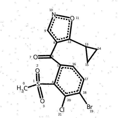 CS(=O)(=O)c1c(C(=O)c2cnoc2C2CC2)ccc(Br)c1Cl